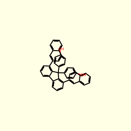 Oc1ccc(C2(c3ccc(O)cc3)c3c(-c4ccc5ccccc5c4)cccc3-c3cccc(-c4ccc5ccccc5c4)c32)cc1